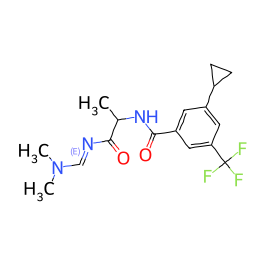 CC(NC(=O)c1cc(C2CC2)cc(C(F)(F)F)c1)C(=O)/N=C/N(C)C